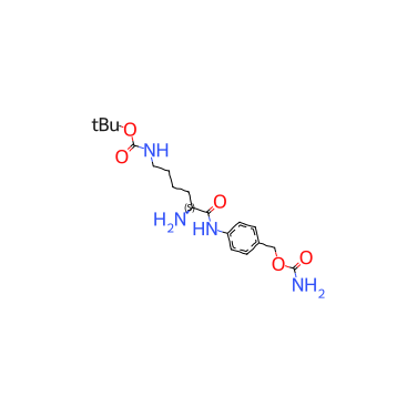 CC(C)(C)OC(=O)NCCCC[C@H](N)C(=O)Nc1ccc(COC(N)=O)cc1